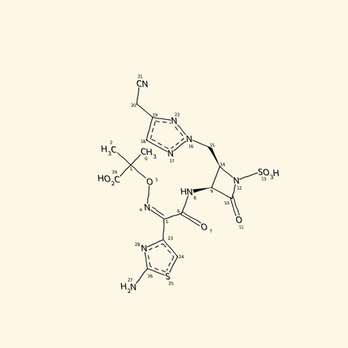 CC(C)(ON=C(C(=O)N[C@@H]1C(=O)N(S(=O)(=O)O)[C@@H]1Cn1ncc(CC#N)n1)c1csc(N)n1)C(=O)O